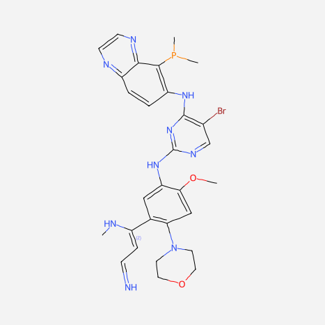 CN/C(=C\C=N)c1cc(Nc2ncc(Br)c(Nc3ccc4nccnc4c3P(C)C)n2)c(OC)cc1N1CCOCC1